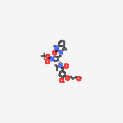 COCCCOc1cc(C(=O)N(C[C@@H]2CN(C(=O)OC(C)(C)C)C[C@H]2CN(C(=O)N(C)c2ccccc2)C2CC2)C(C)C)ccc1OC